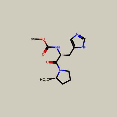 CC(C)(C)OC(=O)N[C@@H](Cc1cnc[nH]1)C(=O)N1CCC[C@H]1C(=O)O